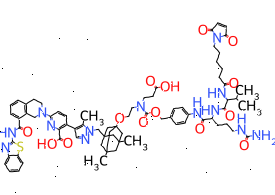 Cc1c(-c2ccc(N3CCc4cccc(C(=O)Nc5nc6ccccc6s5)c4C3)nc2C(=O)O)cnn1CC12CC3(C)CC(C)(C1)CC(OCCN(CCC(=O)O)C(=O)OCc1ccc(NC(=O)[C@H](CCCNC(N)=O)NC(=O)[C@@H](NC(=O)CCCCCN4C(=O)C=CC4=O)C(C)C)cc1)(C3)C2